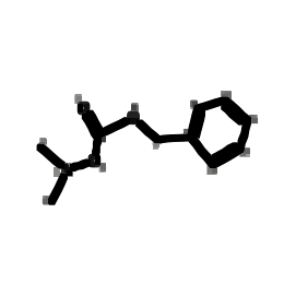 CN(C)OC(=O)OCc1ccccc1